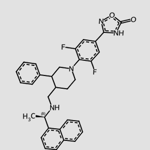 C[C@@H](NCC1CCN(c2c(F)cc(-c3noc(=O)[nH]3)cc2F)CC1c1ccccc1)c1cccc2ccccc12